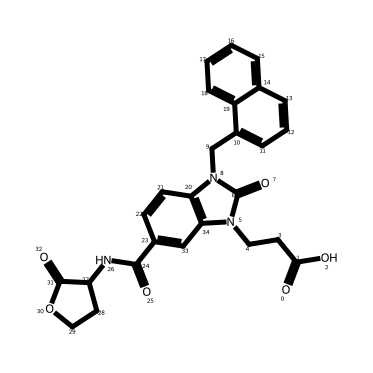 O=C(O)CCn1c(=O)n(Cc2cccc3ccccc23)c2ccc(C(=O)NC3CCOC3=O)cc21